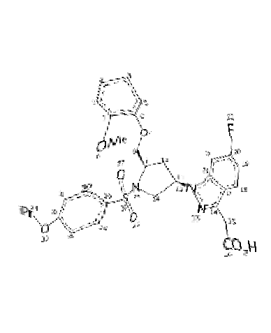 COc1ccccc1OC[C@H]1C[C@@H](n2nc(CC(=O)O)c3ccc(F)cc32)CN1S(=O)(=O)c1ccc(OC(C)C)cc1